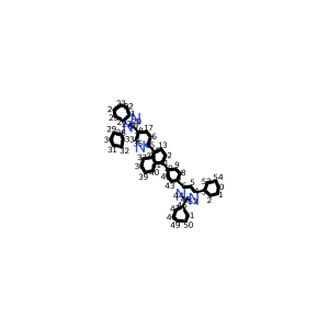 c1ccc(-c2cc(-c3ccc(-c4ccc(-c5ccc(-c6nc7ccccc7n6-c6ccccc6)cn5)c5ccccc45)cc3)nc(-c3ccccc3)n2)cc1